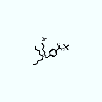 CCCC[P+](CCCC)(CCCC)Cc1ccc(C(=O)OC(C)(C)C)cc1.[Br-]